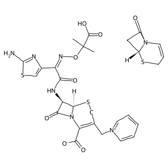 CC(C)(O/N=C(\C(=O)N[C@@H]1C(=O)N2C(C(=O)[O-])=C(C[n+]3ccccc3)CS[C@H]12)c1csc(N)n1)C(=O)O.O=C1C[C@H]2SCC=CN12